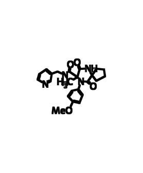 COc1ccc(N2C(=O)C3(CCCC3)NC(=O)C2(C)C(=O)NCc2cccnc2)cc1